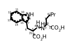 CC(C)C[C@@H](NN[C@@H](Cc1c[nH]c2ccccc12)C(=O)O)C(=O)O